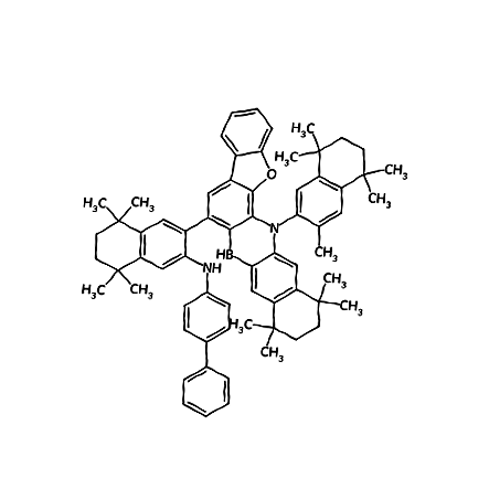 Cc1cc2c(cc1N1c3cc4c(cc3Bc3c(-c5cc6c(cc5Nc5ccc(-c7ccccc7)cc5)C(C)(C)CCC6(C)C)cc5c(oc6ccccc65)c31)C(C)(C)CCC4(C)C)C(C)(C)CCC2(C)C